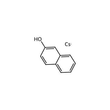 Oc1ccc2ccccc2c1.[Cs]